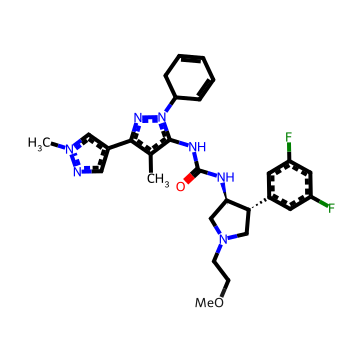 COCCN1C[C@@H](NC(=O)Nc2c(C)c(-c3cnn(C)c3)nn2C2C=CC=CC2)[C@H](c2cc(F)cc(F)c2)C1